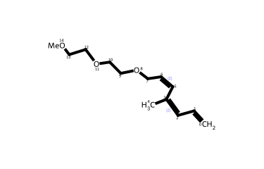 C=C/C=C(C)\C=C/COCCOCCOC